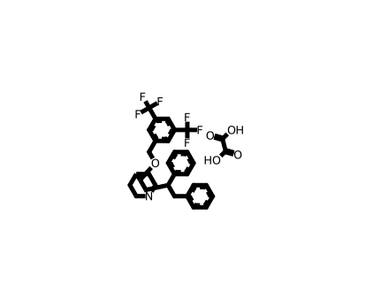 FC(F)(F)c1cc(COC2C3CCN(CC3)C2C(Cc2ccccc2)c2ccccc2)cc(C(F)(F)F)c1.O=C(O)C(=O)O